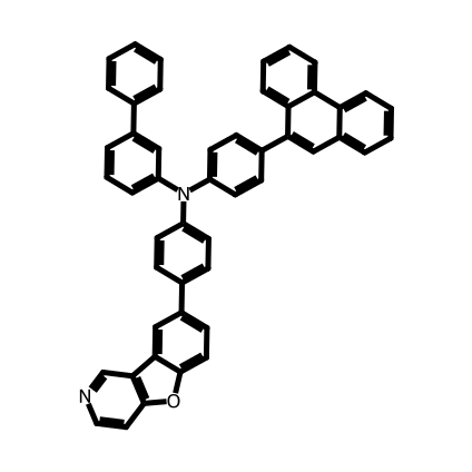 c1ccc(-c2cccc(N(c3ccc(-c4ccc5oc6ccncc6c5c4)cc3)c3ccc(-c4cc5ccccc5c5ccccc45)cc3)c2)cc1